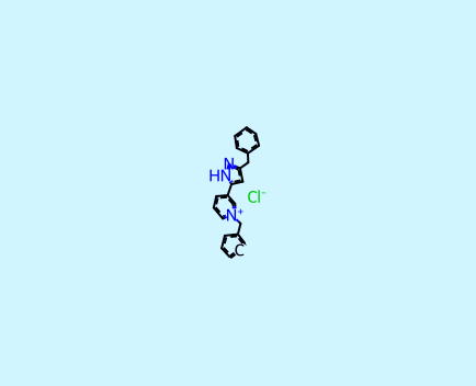 [Cl-].c1ccc(Cc2cc(-c3ccc[n+](Cc4ccccc4)c3)[nH]n2)cc1